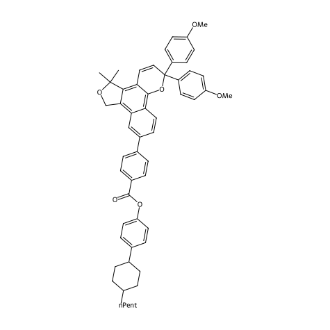 CCCCCC1CCC(c2ccc(OC(=O)c3ccc(-c4ccc5c6c(c7c(c5c4)COC7(C)C)C=CC(c4ccc(OC)cc4)(c4ccc(OC)cc4)O6)cc3)cc2)CC1